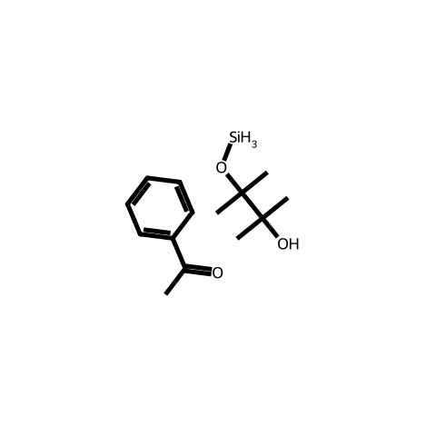 CC(=O)c1ccccc1.CC(C)(O)C(C)(C)O[SiH3]